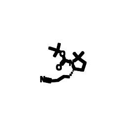 CC(C)(C)OC(=O)N1[C@@H](CCCC#N)CCC1(C)C